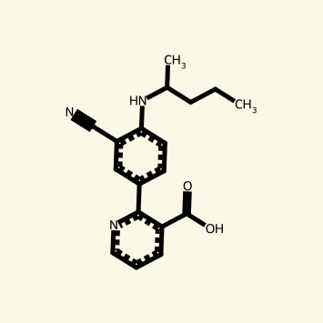 CCCC(C)Nc1ccc(-c2ncccc2C(=O)O)cc1C#N